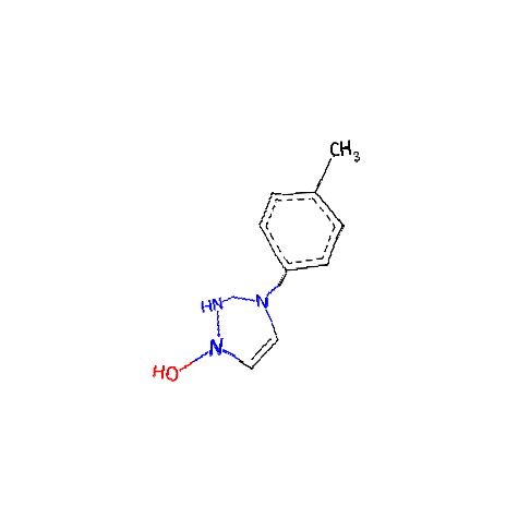 Cc1ccc(N2C=CN(O)N2)cc1